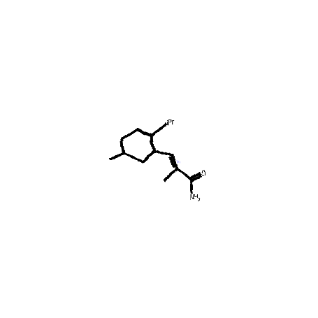 C/C(=C\C1CC(C)CCC1C(C)C)C(N)=O